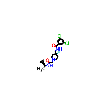 CC(NC(=O)CN1CCC(F)(CNC(=O)c2cc(Cl)cc(Cl)c2)CC1)=C1CC1